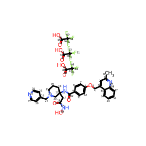 Cc1cc(COc2ccc(C(=O)NC3(CC(=O)NO)CCCN(Cc4ccncc4)C3)cc2)c2ccccc2n1.O=C(O)C(F)(F)F.O=C(O)C(F)(F)F.O=C(O)C(F)(F)F